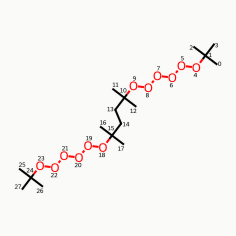 CC(C)(C)OOOOOOC(C)(C)CCC(C)(C)OOOOOOC(C)(C)C